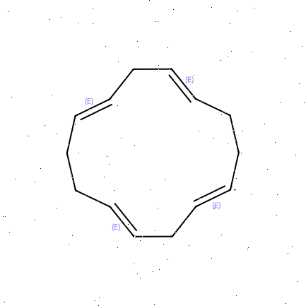 [C]1=C/C/C=C/CC/C=C/C/C=C/CC/1